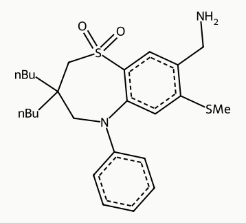 CCCCC1(CCCC)CN(c2ccccc2)c2cc(SC)c(CN)cc2S(=O)(=O)C1